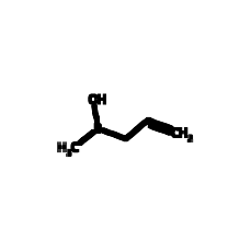 C=CCB(C)O